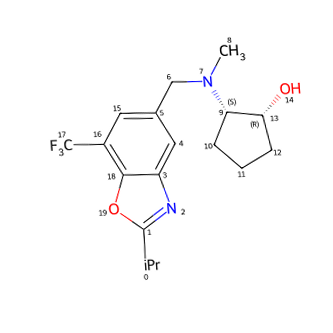 CC(C)c1nc2cc(CN(C)[C@H]3CCC[C@H]3O)cc(C(F)(F)F)c2o1